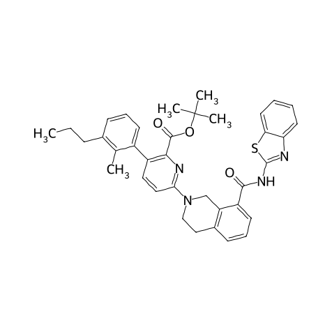 CCCc1cccc(-c2ccc(N3CCc4cccc(C(=O)Nc5nc6ccccc6s5)c4C3)nc2C(=O)OC(C)(C)C)c1C